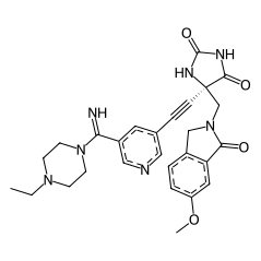 CCN1CCN(C(=N)c2cncc(C#C[C@]3(CN4Cc5ccc(OC)cc5C4=O)NC(=O)NC3=O)c2)CC1